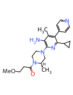 COCCC(=O)N1CCN(c2nc(C3CC3)c(-c3ccncc3)c(C)c2N)C[C@H]1C